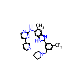 Cc1cc2nc(-c3cc(CN4CCCCC4)cc(C(F)(F)F)c3)[nH]c2cc1Nc1nccc(-c2cccnc2)n1